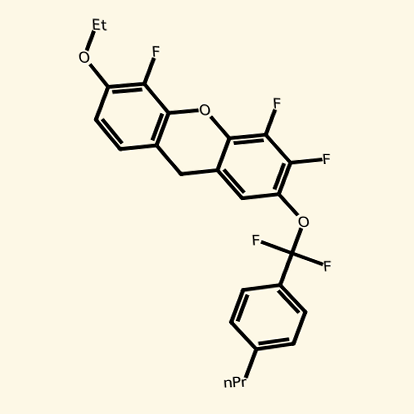 CCCc1ccc(C(F)(F)Oc2cc3c(c(F)c2F)Oc2c(ccc(OCC)c2F)C3)cc1